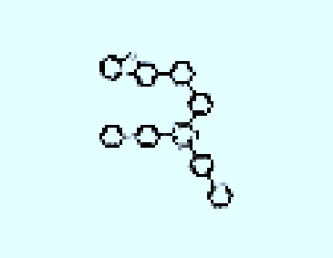 c1ccc(-c2ccc(-c3nc(-c4ccc(-c5ccccc5)cc4)nc(-c4cccc(-c5cccc(-c6ccc7c(c6)oc6ccccc67)c5)c4)n3)cc2)cc1